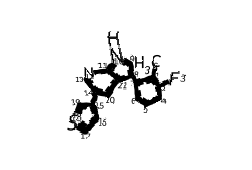 Cc1c(F)cccc1-c1c[nH]c2ncc(-c3ccsc3)cc12